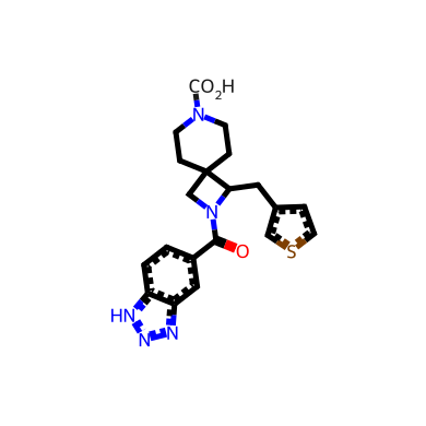 O=C(O)N1CCC2(CC1)CN(C(=O)c1ccc3[nH]nnc3c1)C2Cc1ccsc1